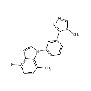 Cc1ccc(F)c2ccn(-c3cccc(-c4nncn4C)c3)c12